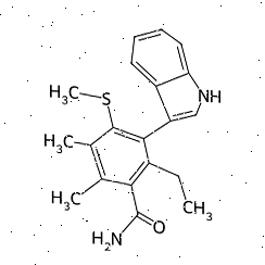 CCc1c(C(N)=O)c(C)c(C)c(SC)c1-c1c[nH]c2ccccc12